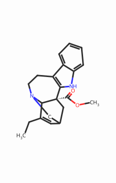 CCC1=CC2CN3CCc4c([nH]c5ccccc45)[C@@](C(=O)OC)(C2)C13